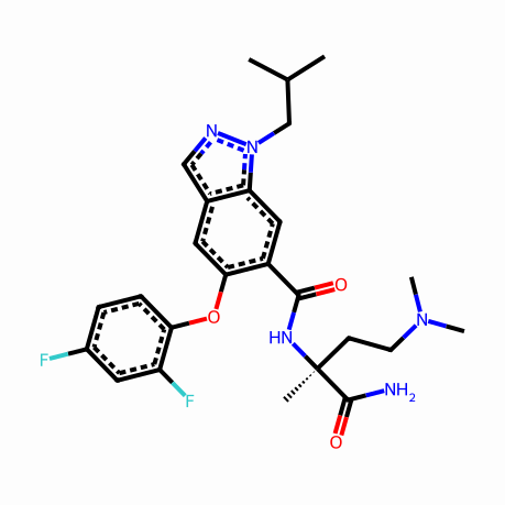 CC(C)Cn1ncc2cc(Oc3ccc(F)cc3F)c(C(=O)N[C@@](C)(CCN(C)C)C(N)=O)cc21